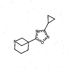 C1CN2CC(c3nc(C4CC4)no3)(C1)C2